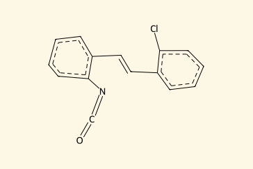 O=C=Nc1ccccc1C=Cc1ccccc1Cl